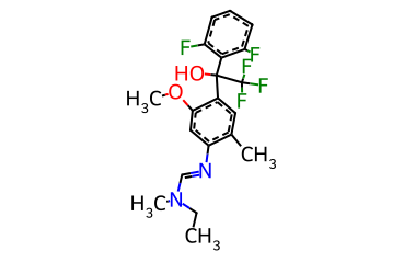 CCN(C)/C=N/c1cc(OC)c(C(O)(c2c(F)cccc2F)C(F)(F)F)cc1C